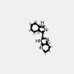 c1cnc2[nH]c(-c3n[nH]c4ccccc34)nc2c1